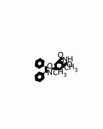 CC12C=C(CC(C)(C3=N[C@@H](c4ccccc4)[C@H](c4ccccc4)O3)C1)C(=O)NC2=O